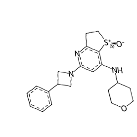 [O-][S@+]1CCc2nc(N3CC(c4ccccc4)C3)cc(NC3CCOCC3)c21